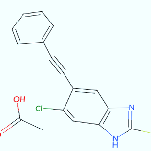 CC(=O)O.[S]c1nc2cc(C#Cc3ccccc3)c(Cl)cc2[nH]1